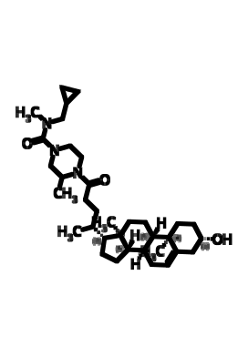 CC(CCC(=O)N1CCN(C(=O)N(C)CC2CC2)CC1C)[C@H]1CC[C@H]2[C@@H]3CC=C4C[C@@H](O)CC[C@]4(C)[C@H]3CC[C@]12C